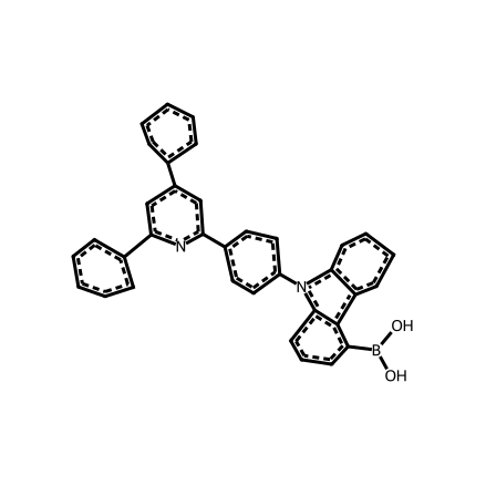 OB(O)c1cccc2c1c1ccccc1n2-c1ccc(-c2cc(-c3ccccc3)cc(-c3ccccc3)n2)cc1